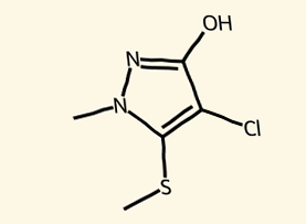 CSc1c(Cl)c(O)nn1C